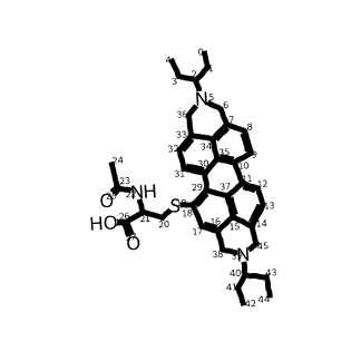 CCC(CC)N1Cc2ccc3c4ccc5c6c(cc(SCC(NC(C)=O)C(=O)O)c(c7ccc(c2c37)C1)c64)CN(C(CC)CC)C5